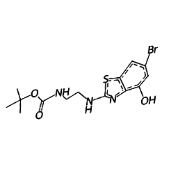 CC(C)(C)OC(=O)NCCNc1nc2c(O)cc(Br)cc2s1